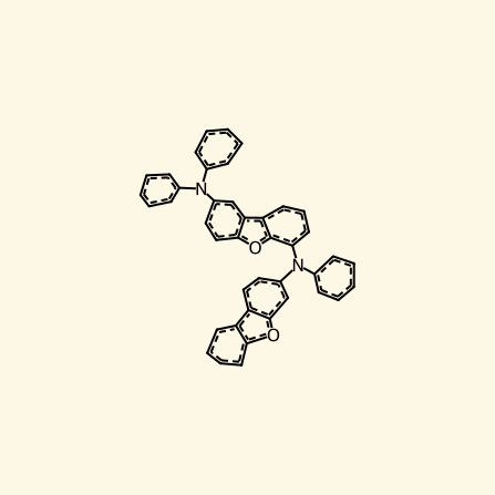 c1ccc(N(c2ccccc2)c2ccc3oc4c(N(c5ccccc5)c5ccc6c(c5)oc5ccccc56)cccc4c3c2)cc1